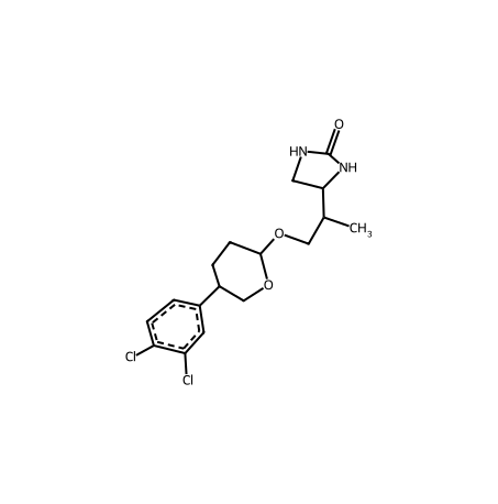 CC(COC1CCC(c2ccc(Cl)c(Cl)c2)CO1)C1CNC(=O)N1